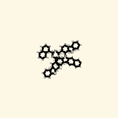 c1ccc2cc3c(cc2c1)c1ccccc1n3-c1c(-c2nc(-c3ccc4oc5ccccc5c4c3)nc(-c3cccc4ccccc34)n2)ccc2c1oc1ccccc12